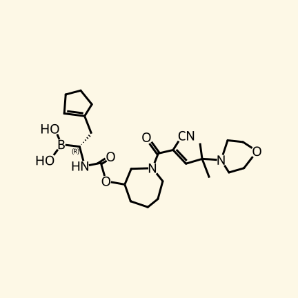 CC(C)(C=C(C#N)C(=O)N1CCCCC(OC(=O)N[C@@H](CC2=CCCC2)B(O)O)C1)N1CCOCC1